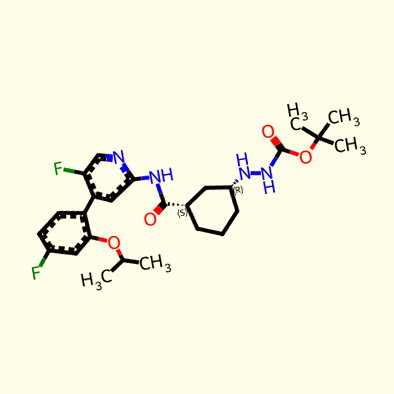 CC(C)Oc1cc(F)ccc1-c1cc(NC(=O)[C@H]2CCC[C@@H](NNC(=O)OC(C)(C)C)C2)ncc1F